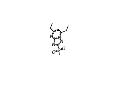 CCc1cc(CC)n2nc(S(C)(=O)=O)nc2n1